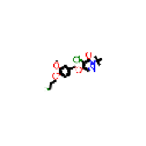 COc1cc(COc2cnn(C(C)(C)C)c(=O)c2Cl)ccc1OCCCF